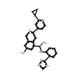 Cc1cc([C@@H](C)Nc2ccccc2-c2nnco2)c2cc(-c3ccnc(C4CC4)c3)ncc2c1